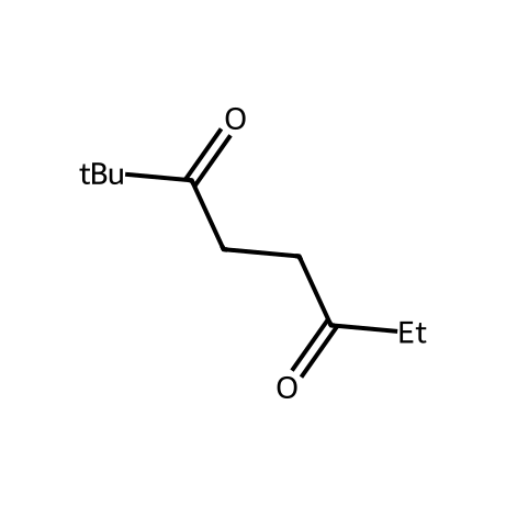 CCC(=O)CCC(=O)C(C)(C)C